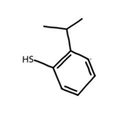 CC(C)c1[c]cccc1S